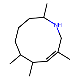 C/C1=C/C(C)C(C)CCCC(C)NC1